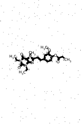 CCC(=O)Oc1ccc(C=Cc2nc3c(c(=O)n(CC)c(=O)n3CC)n2C)cc1OC